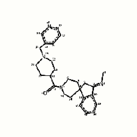 CN=C1CC2(CCN(C(=O)C3CCN(Cc4ccnnc4)CC3)CC2)c2ccccc21